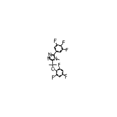 Cn1c(-c2cc(F)c(F)c(F)c2)nnc1C(C)(C)Oc1c(F)cc(F)cc1F